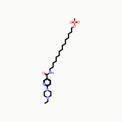 CCN1CCN(c2ccc(C(=O)NCCCCCCCCCCCCCCCOS(C)(=O)=O)cn2)CC1